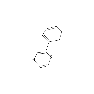 C1=CCCC(C2=C[N]C=CS2)=C1